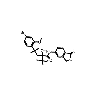 COc1cc(Br)ccc1C(C)(C)CC(O)(C(=O)Nc1ccc2c(c1)COC2=O)C(F)(F)F